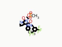 Cc1ccc(-c2c(C(=O)NCc3cc(C(F)(F)F)cc(C(F)(F)F)c3)n(CCOS(C)(=O)=O)c(=O)c3ncccc23)cc1